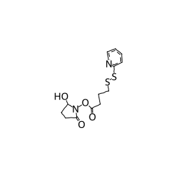 O=C(CCCSSc1ccccn1)ON1C(=O)CCC1O